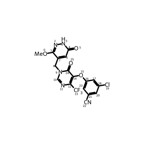 COc1n[nH]c(=O)cc1Cn1cnc(C(F)(F)F)c(Oc2cc(Cl)cc(C#N)c2)c1=O